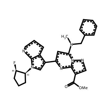 COC(=O)c1cnn2c(N(C)Cc3ccccc3)cc(-c3cn([C@H]4CCC[C@H]4F)c4ncccc34)nc12